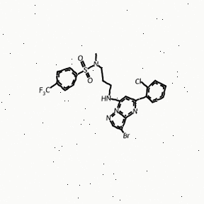 CN(CCCNc1cc(-c2ccccc2Cl)nc2c(Br)cnn12)S(=O)(=O)c1ccc(C(F)(F)F)cc1